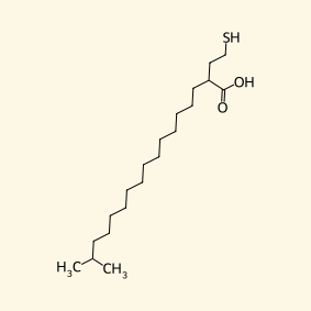 CC(C)CCCCCCCCCCCCCC(CCS)C(=O)O